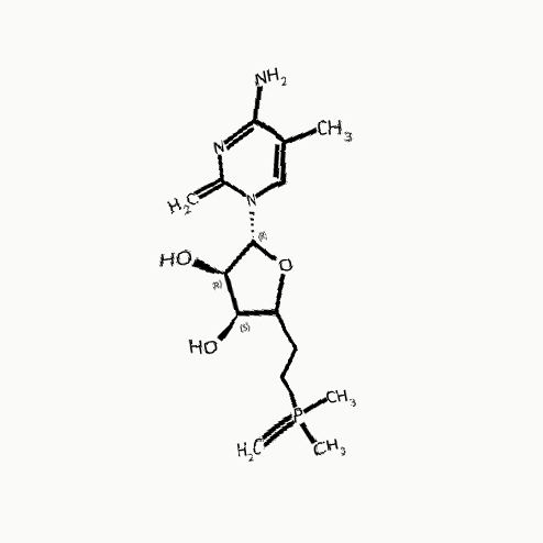 C=C1N=C(N)C(C)=CN1[C@@H]1OC(CCP(=C)(C)C)[C@@H](O)[C@H]1O